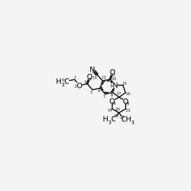 CCOC(=O)Cc1cc2n(c(=O)c1C#N)CCC21OCC(C)(C)CO1